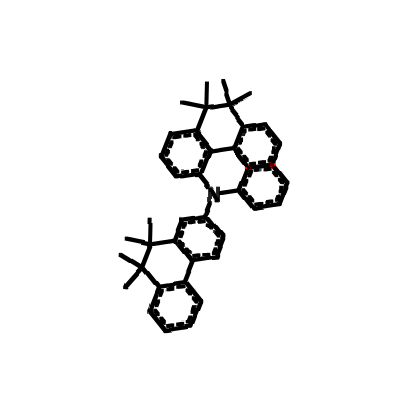 CC1(C)c2ccccc2-c2ccc(N(c3ccccc3)c3cccc4c3-c3ccccc3C(C)(C)C4(C)C)cc2C1(C)C